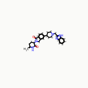 C=C1CCC(N2Cc3cc(C4CCN(Cc5nc6ccccc6[nH]5)CC4)ccc3C2=O)C(=O)N1